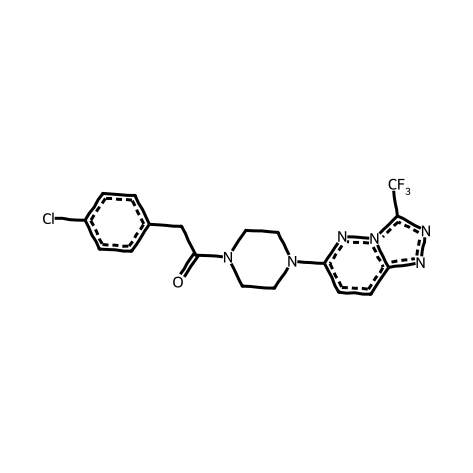 O=C(Cc1ccc(Cl)cc1)N1CCN(c2ccc3nnc(C(F)(F)F)n3n2)CC1